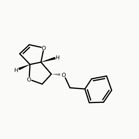 C1=C[C@H]2OC[C@@H](OCc3ccccc3)[C@H]2O1